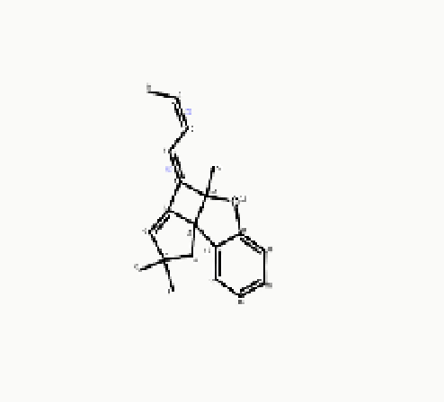 C/C=C\C=C1\C2=CC(C)(C)CC23c2ccccc2OC13C